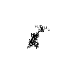 CN(C)C(=O)/C=C/CCCC(=O)Nc1cncn(Cc2nc3cc(F)ccc3n2Cc2ccc(F)cc2)c1=O